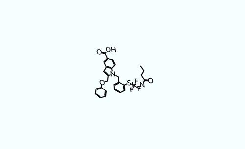 CCCC(N)=O.O=C(O)c1ccc2c(c1)cc(COc1ccccc1)n2Cc1ccccc1SC(F)(F)F